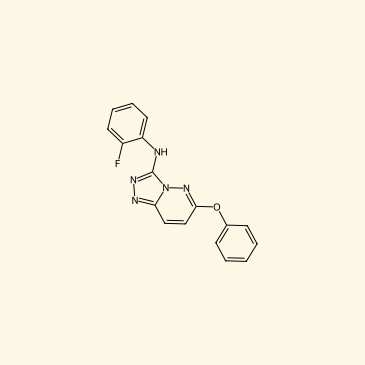 Fc1ccccc1Nc1nnc2ccc(Oc3ccccc3)nn12